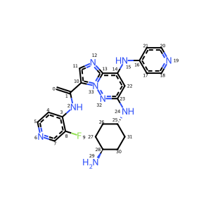 C=C(Nc1ccncc1F)c1cnc2c(Nc3ccncc3)cc(N[C@H]3CC[C@H](N)CC3)nn12